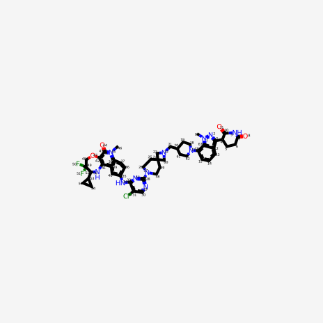 Cn1nc(C2CCC(=O)NC2=O)c2cccc(N3CCC(CN4CC5(CCN(c6ncc(Cl)c(Nc7ccc8c(c7)c7c(c(=O)n8C)OCC(F)(F)C(C8CC8)N7)n6)CC5)C4)CC3)c21